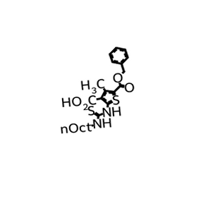 CCCCCCCCNC(=S)Nc1sc(C(=O)OCc2ccccc2)c(C)c1C(=O)O